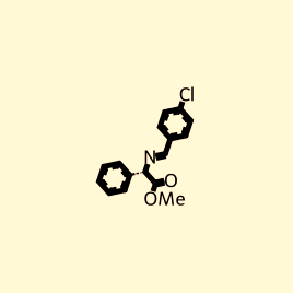 COC(=O)[C@@H](N=Cc1ccc(Cl)cc1)c1ccccc1